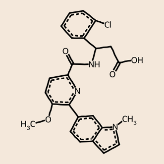 COc1ccc(C(=O)NC(CC(=O)O)c2ccccc2Cl)nc1-c1ccc2ccn(C)c2c1